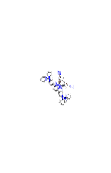 N#Cc1cc2c3cc(C#N)sc3c3nc4c(-c5ccc(N(c6ccccc6)c6ccccc6)cc5)ccc(-c5ccc(N(c6ccccc6)c6ccccc6)cc5)c4nc3c2s1